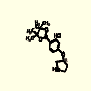 CC1(C)OB(c2ccc(O[C@H]3CCNC3)cc2)OC1(C)C.Cl